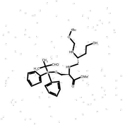 COC(=O)[C@@H](CO[Si](c1ccccc1)(c1ccccc1)C(C)(C)C=O)NC[C@@H](CCO)NCOC(C)(C)C